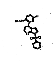 COc1ccc(F)cc1-c1ccnc2c1ccn2S(=O)(=O)c1ccccc1